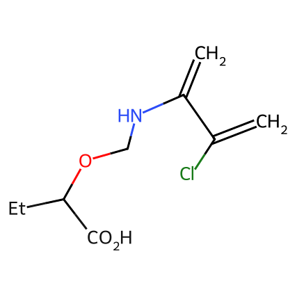 C=C(Cl)C(=C)NCOC(CC)C(=O)O